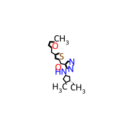 CC[C@H]1C[C@@H](Nc2ncncc2C(=O)c2cc(Cc3ccc(C)o3)cs2)C[C@@H]1C